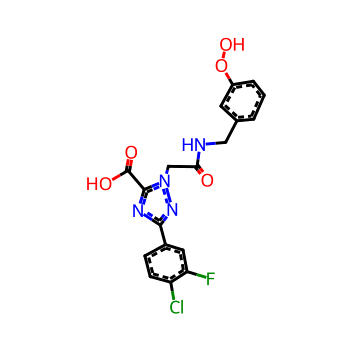 O=C(Cn1nc(-c2ccc(Cl)c(F)c2)nc1C(=O)O)NCc1cccc(OO)c1